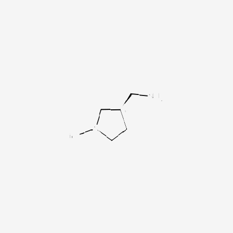 CC(C)N1CC[C@H](CN)C1